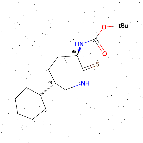 CC(C)(C)OC(=O)N[C@@H]1CC[C@@H](C2CCCCC2)CNC1=S